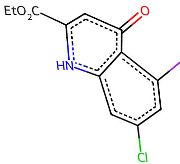 CCOC(=O)c1cc(=O)c2c(I)cc(Cl)cc2[nH]1